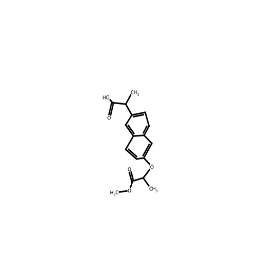 COC(=O)C(C)Oc1ccc2cc(C(C)C(=O)O)ccc2c1